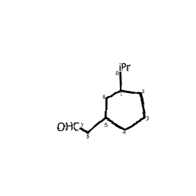 CC(C)C1CCCC(CC=O)C1